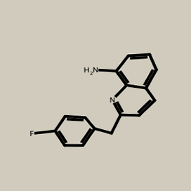 Nc1cccc2ccc(Cc3ccc(F)cc3)nc12